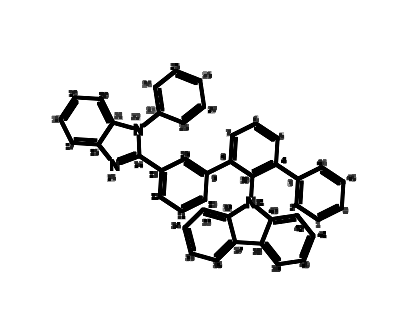 c1ccc(-c2cccc(-c3cccc(-c4nc5ccccc5n4-c4ccccc4)c3)c2-n2c3ccccc3c3ccccc32)cc1